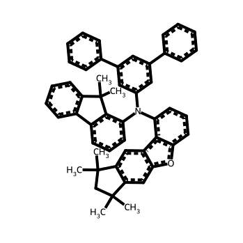 CC1(C)CC(C)(C)c2cc3c(cc21)oc1cccc(N(c2cc(-c4ccccc4)cc(-c4ccccc4)c2)c2cccc4c2C(C)(C)c2ccccc2-4)c13